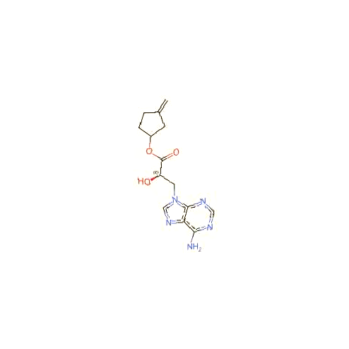 C=C1CCC(OC(=O)[C@H](O)Cn2cnc3c(N)ncnc32)C1